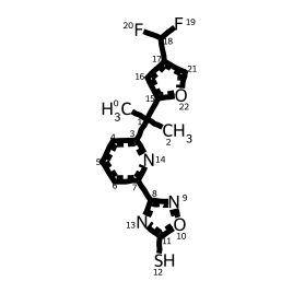 CC(C)(c1cccc(-c2noc(S)n2)n1)c1cc(C(F)F)co1